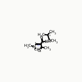 CC(=O)/C(=C\N(C)C)C(=O)N[C@@H](C)C(C)C